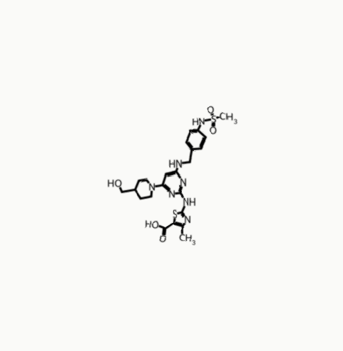 Cc1nc(Nc2nc(NCc3ccc(NS(C)(=O)=O)cc3)cc(N3CCC(CO)CC3)n2)sc1C(=O)O